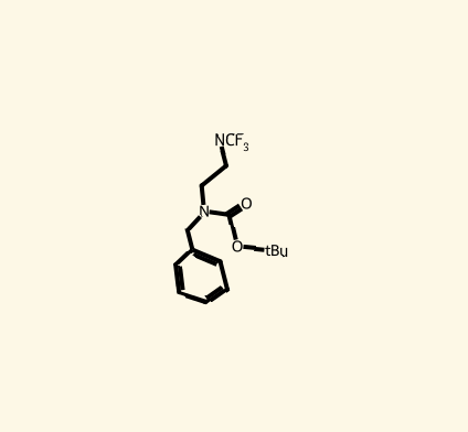 CC(C)(C)OC(=O)N(CCNC(F)(F)F)Cc1ccccc1